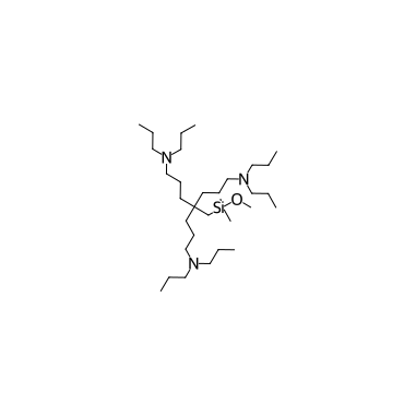 CCCN(CCC)CCCC(CCCN(CCC)CCC)(CCCN(CCC)CCC)C[Si](C)(C)OC